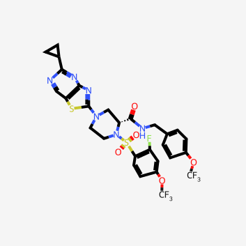 O=C(NCc1ccc(OC(F)(F)F)cc1)[C@H]1CN(c2nc3nc(C4CC4)ncc3s2)CCN1S(=O)(=O)c1ccc(OC(F)(F)F)cc1F